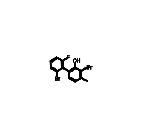 Cc1ccc(-c2c(F)cccc2Br)c(O)c1C(C)C